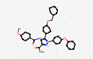 COC(=O)c1nn(-c2ccc(Oc3ccccc3)cc2)c(-c2ccc(OCc3ccccc3)cc2)c1NC(=O)c1ccc(OC(C)C)cc1